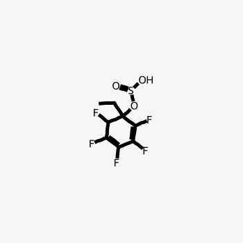 CCC1(OS(=O)O)C(F)=C(F)C(F)=C(F)C1F